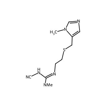 CN/C(=N/CCSCc1cncn1C)NC#N